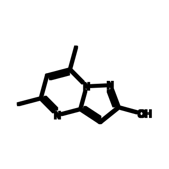 Cc1cc(C)n2nc(O)cc2n1